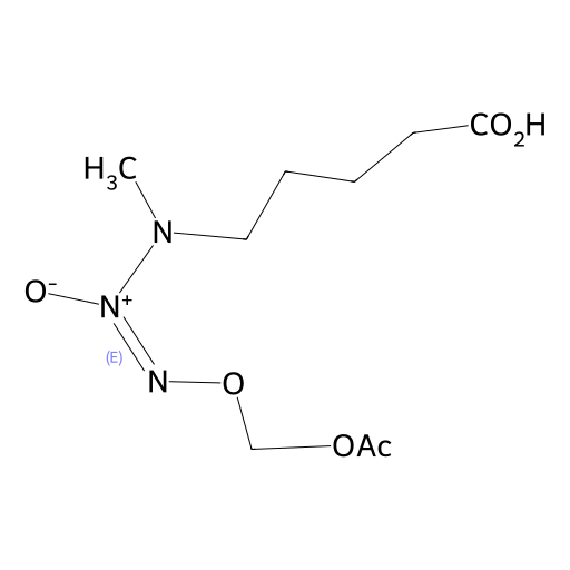 CC(=O)OCO/N=[N+](/[O-])N(C)CCCCC(=O)O